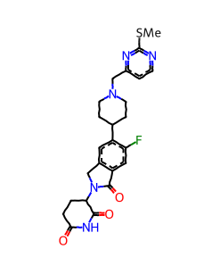 CSc1nccc(CN2CCC(c3cc4c(cc3F)C(=O)N(C3CCC(=O)NC3=O)C4)CC2)n1